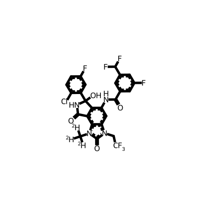 [2H]C([2H])([2H])n1c(=O)n(CC(F)(F)F)c2cc(NC(=O)c3cc(F)cc(C(F)F)c3)c3c(c21)C(=O)NC3(O)c1cc(F)ccc1Cl